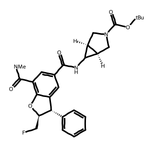 CNC(=O)c1cc(C(=O)NC2[C@H]3CN(C(=O)OC(C)(C)C)C[C@@H]23)cc2c1O[C@H](CF)[C@H]2c1ccccc1